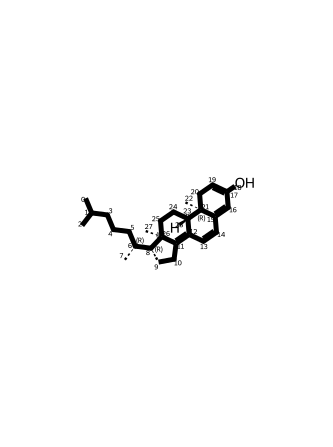 CC(C)CCC[C@@H](C)[C@H]1CCC2=C3C=CC4=CC(O)=CC[C@]4(C)[C@H]3CC[C@@]21C